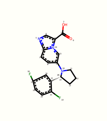 O=C(O)c1cnc2ccc(N3CCC[C@@H]3c3cc(F)ccc3F)cn12